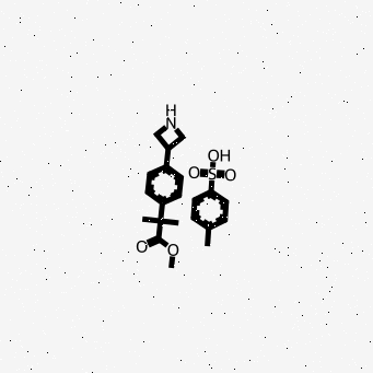 COC(=O)C(C)(C)c1ccc(C2CNC2)cc1.Cc1ccc(S(=O)(=O)O)cc1